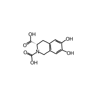 O=C(O)[C@@H]1Cc2cc(O)c(O)cc2CN1C(=O)O